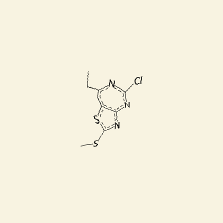 CCc1nc(Cl)nc2nc(SC)sc12